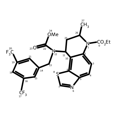 CCOC(=O)N1c2ccc3ncsc3c2C(N(Cc2cc(C(F)(F)F)cc(C(F)(F)F)c2)C(=O)OC)CC1C